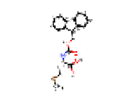 CSCC[C@H](NC(=O)OCC1c2ccccc2-c2ccccc21)C([O])=O